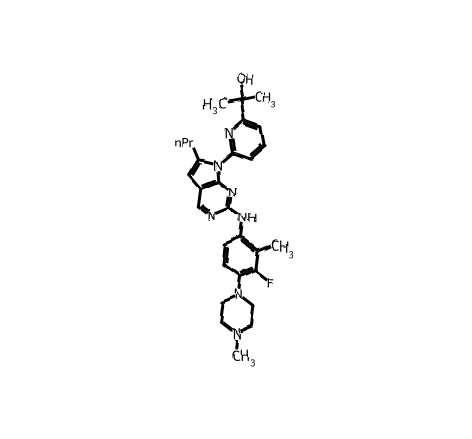 CCCc1cc2cnc(Nc3ccc(N4CCN(C)CC4)c(F)c3C)nc2n1-c1cccc(C(C)(C)O)n1